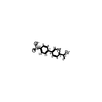 CC(Br)c1ccc(-c2ccc([N+](=O)[O-])cc2)cn1